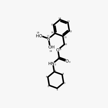 O=C(NC1CCCCC1)OCc1ccccc1N(O)O